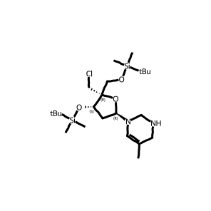 CC1=CN([C@H]2C[C@H](O[Si](C)(C)C(C)(C)C)[C@@](CCl)(CO[Si](C)(C)C(C)(C)C)O2)CNC1